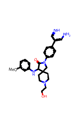 COc1cccc(NC2C(=O)N(c3ccc(/C(C=N)=C/N)cc3)CC23CCN(CCO)CC3)c1